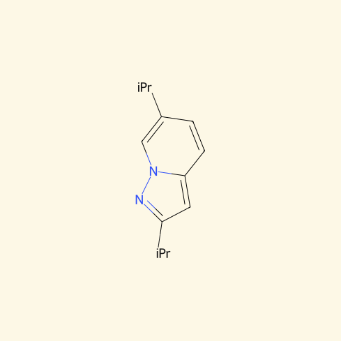 CC(C)c1ccc2cc(C(C)C)nn2c1